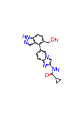 O=C(Nc1cn2cc(-c3c(CO)ccc4[nH]ncc34)ccc2n1)C1CC1